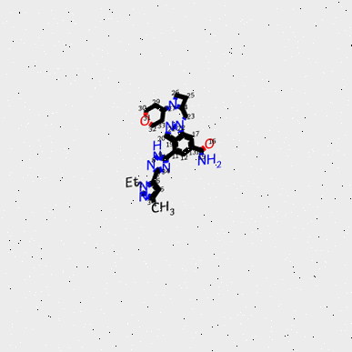 CCn1nc(C)cc1-c1n[nH]c(-c2cc(C(N)=O)cc3c2cnn3CC2CCN2C2CCOCC2)n1